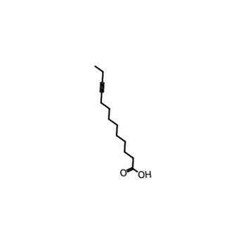 CCC#CCCCCCCCCC(=O)O